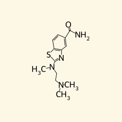 CN(C)CCN(C)c1nc2cc(C(N)=O)ccc2s1